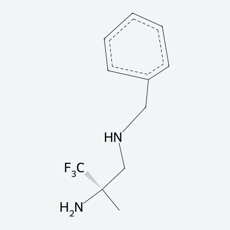 C[C@@](N)(CNCc1ccccc1)C(F)(F)F